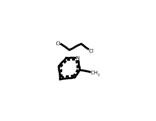 Cc1ccccn1.ClCCCl